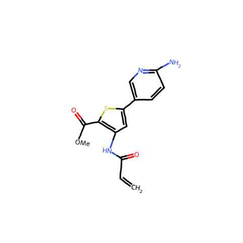 C=CC(=O)Nc1cc(-c2ccc(N)nc2)sc1C(=O)OC